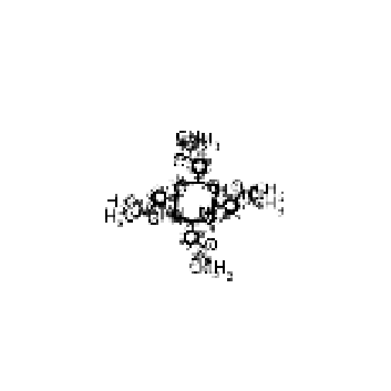 CCN(CC)C(=O)c1cccc(-c2c3nc(c(-c4cccc(C(=O)N(CC)CC)c4)c4ccc([nH]4)c(-c4cccc(C(=O)N(CC)CC)c4)c4nc(c(-c5cccc(C(=O)N(CC)CC)c5)c5ccc2[nH]5)C=C4)C=C3)c1